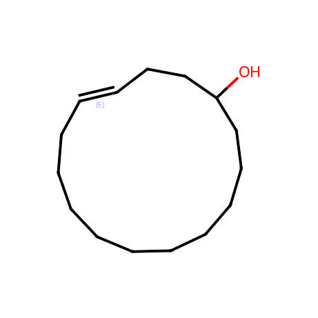 OC1CC/C=C/CCCCCCCCCC1